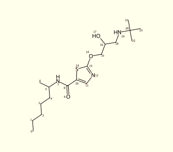 CCCCCC(C)NC(=O)c1cnc(OCC(O)CNC(C)(C)C)s1